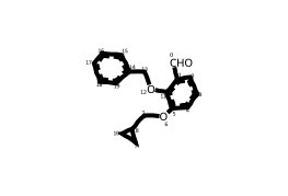 O=Cc1cccc(OCC2CC2)c1OCc1ccccc1